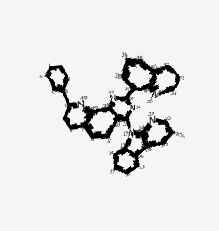 c1ccc(-c2ccc3ccc4c(-n5c6ccccc6c6cccnc65)nc(-c5cccc6cccnc56)nc4c3n2)cc1